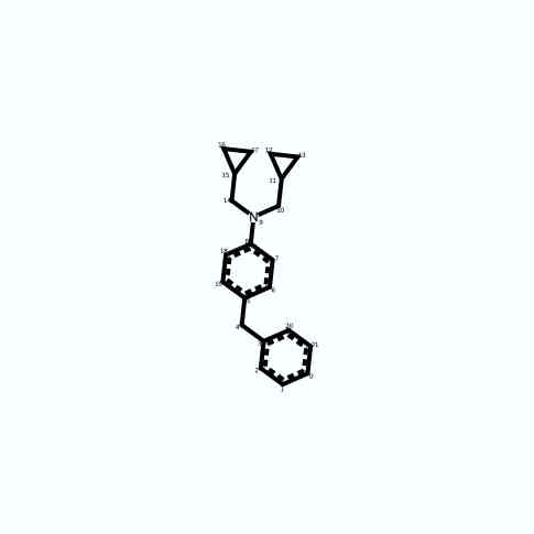 c1ccc(Cc2ccc(N(CC3CC3)CC3CC3)cc2)cc1